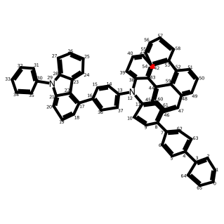 c1ccc(-c2ccc(-c3ccc(N(c4ccc(-c5cccc6c5c5ccccc5n6-c5ccccc5)cc4)c4ccccc4-c4cccc5cccc(-c6ccccc6)c45)cc3)cc2)cc1